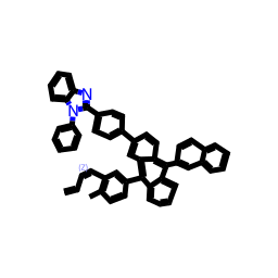 C=C/C=C\c1cc(-c2c3ccccc3c(-c3ccc4ccccc4c3)c3ccc(-c4ccc(-c5nc6ccccc6n5-c5ccccc5)cc4)cc23)ccc1C